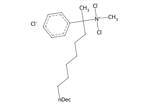 CCCCCCCCCCCCCCCCC(C)(c1ccccc1)[N+](C)(Cl)Cl.[Cl-]